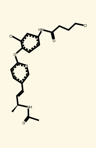 CC(=O)N[C@@H](C)/C=C/c1ccc(Oc2ccc(NC(=O)CCCCl)cc2Cl)nc1